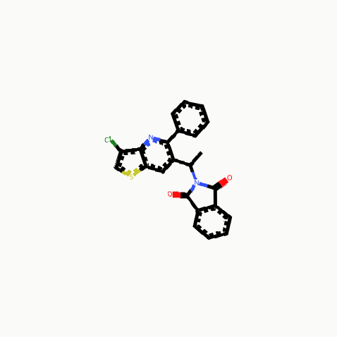 CC(c1cc2scc(Cl)c2nc1-c1ccccc1)N1C(=O)c2ccccc2C1=O